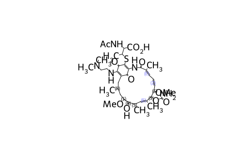 CO[C@H]1/C=C\C=C(/C)C(=O)NC2=C(SC(C)C(NC(C)=O)C(=O)O)C(=O)C(NCCN(C)C)=C(C[C@@H](C)C[C@H](OC)[C@H](O)[C@@H](C)/C=C(\C)[C@@H]1OC(N)=O)C2=O